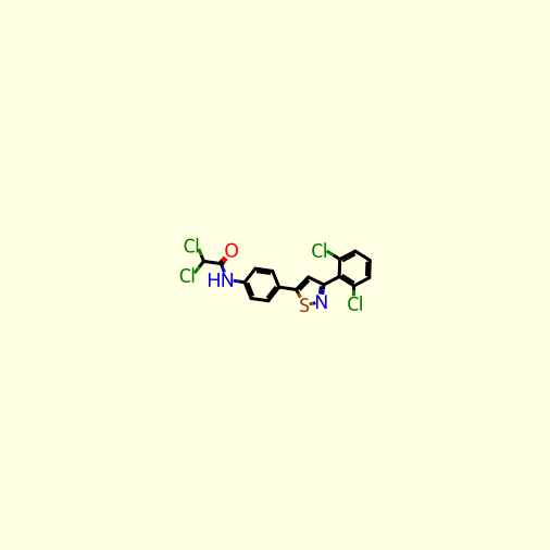 O=C(Nc1ccc(-c2cc(-c3c(Cl)cccc3Cl)ns2)cc1)C(Cl)Cl